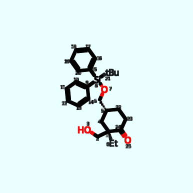 CC[C@@]1(CO)C[C@H](CO[Si](c2ccccc2)(c2ccccc2)C(C)(C)C)CCC1=O